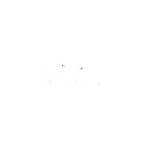 C[C@@H](N(C(=O)CN)C(=O)c1ccc(C(F)(F)F)cc1)[C@](O)(Cn1cncn1)c1ccc(F)cc1F